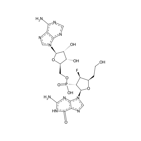 Nc1nc2c(ncn2[C@@H]2O[C@H](CCO)[C@H](F)[C@H]2P(=O)(O)OC[C@H]2O[C@@H](n3cnc4c(N)ncnc43)[C@H](O)[C@@H]2O)c(=O)[nH]1